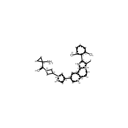 Cc1c(-c2c(Cl)cccc2Cl)nc2c3cc(-c4cnn(C5CN(C(=O)C6(N)CC6)C5)c4)cnc3ccn12